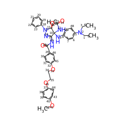 CCN(CC)c1ccc(NC2(NC(C)=O)C(=O)N(c3ccccc3)N=C2NC(=O)c2ccc(OCCOc3ccc(OC)cc3)cc2)cc1